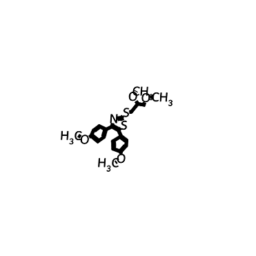 COCC(CSc1nc(-c2ccc(OC)cc2)c(-c2ccc(OC)cc2)s1)OC